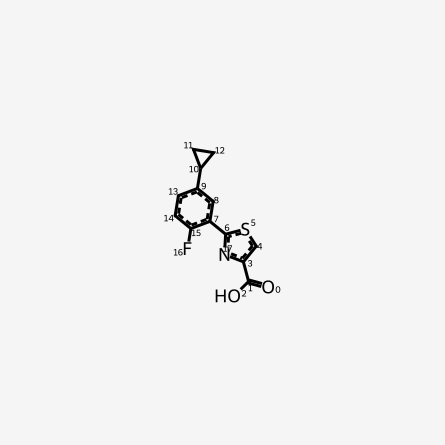 O=C(O)c1csc(-c2cc(C3CC3)ccc2F)n1